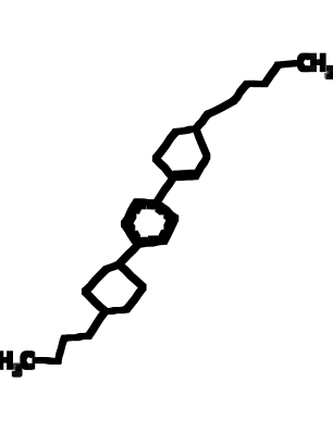 CCCCCCC1CC=C(c2ccc(C3CCC(CCCC)CC3)cc2)CC1